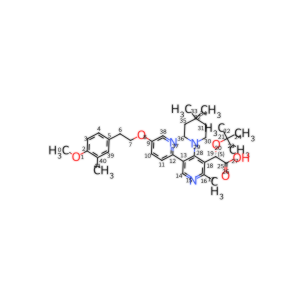 COc1ccc(CCOc2ccc(-c3cnc(C)c([C@H](OC(C)(C)C)C(=O)O)c3N3CCC(C)(C)CC3)nc2)cc1C